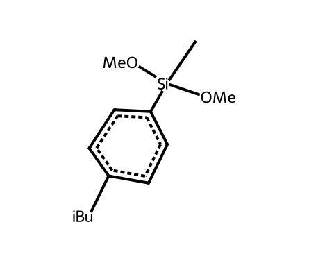 CCC(C)c1ccc([Si](C)(OC)OC)cc1